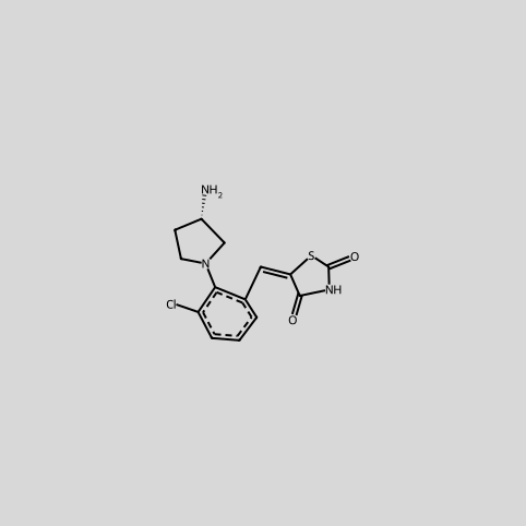 N[C@H]1CCN(c2c(Cl)cccc2C=C2SC(=O)NC2=O)C1